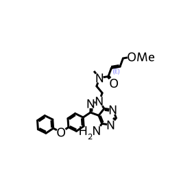 COC/C=C/C(=O)N(C)CCn1nc(-c2ccc(Oc3ccccc3)cc2)c2c(N)ncnc21